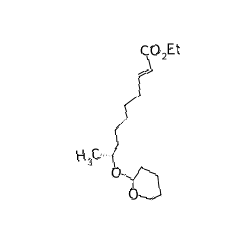 CCOC(=O)/C=C/CCCCC[C@@H](C)OC1CCCCO1